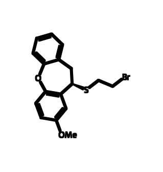 COc1ccc2c(c1)[C@H](SCCBr)Cc1ccccc1O2